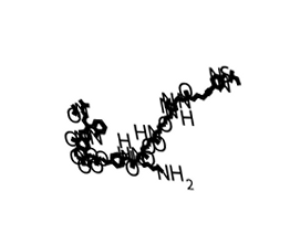 CCC(C)(C)Sc1ncc(C#CCCCC(=O)NCc2cn(CCOCCNC(=O)COCC(=O)N[C@@H](CCCCN)C(=O)Nc3ccc(COC(=O)O[C@]4(CC)C(=O)OCc5c4cc4n(c5=O)Cc5c-4nc4ccccc4c5CCN(C(C)=O)C(C)C)cc3)nn2)cn1